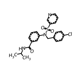 CC(C)NC(=O)c1cccc(N(Cc2ccc(Cl)cc2)S(=O)(=O)c2cccnc2)c1